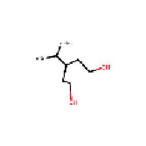 CCCCCCC(CCCC)C(CCO)CCO